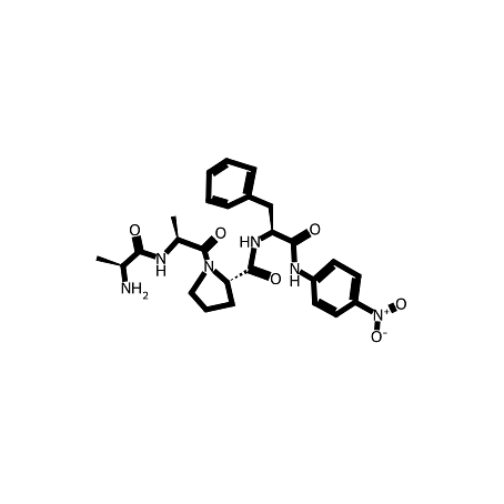 C[C@H](N)C(=O)N[C@@H](C)C(=O)N1CCC[C@H]1C(=O)N[C@@H](Cc1ccccc1)C(=O)Nc1ccc([N+](=O)[O-])cc1